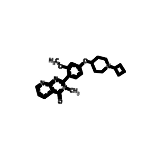 COc1cc(OC2CCN(C3CCC3)CC2)ccc1-c1nc2ncccc2c(=O)n1C